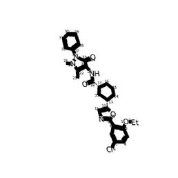 CCOc1ccc(Cl)cc1-c1ncc([C@H]2CCC[C@@H](C(=O)Nc3c(C)n(C)n(-c4ccccc4)c3=O)C2)o1